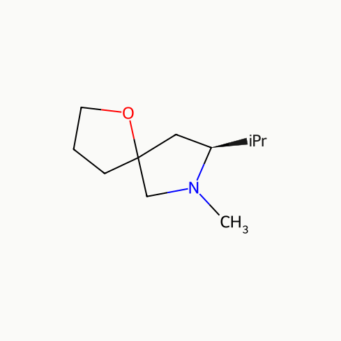 CC(C)[C@@H]1CC2(CCCO2)CN1C